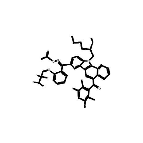 CCCCC(CC)Cn1c2ccc(/C(=N/OC(C)=O)c3ccccc3OCC(F)(F)C(F)F)cc2c2cc(C(=O)c3c(C)c(C)cc(C)c3C)c3ccccc3c21